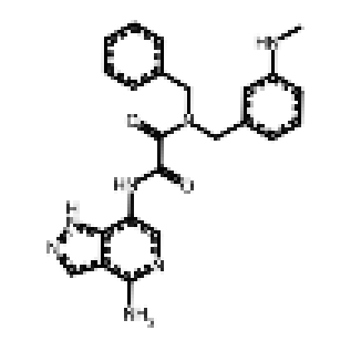 CNc1cccc(CN(Cc2ccccc2)C(=O)C(=O)Nc2cnc(N)c3cn[nH]c23)c1